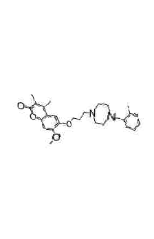 COc1cc2oc(=O)c(C)c(C)c2cc1OCCCN1CCN(c2ccccc2C)CC1